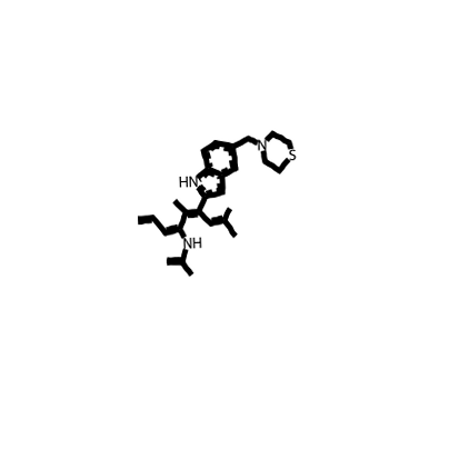 C=C/C=C(NC(=C)C)\C(C)=C(/C=C(C)C)c1cc2cc(CN3CCSCC3)ccc2[nH]1